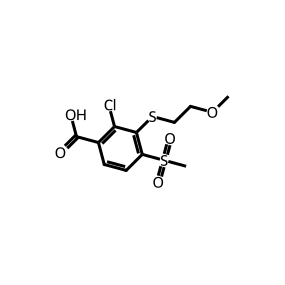 COCCSc1c(S(C)(=O)=O)ccc(C(=O)O)c1Cl